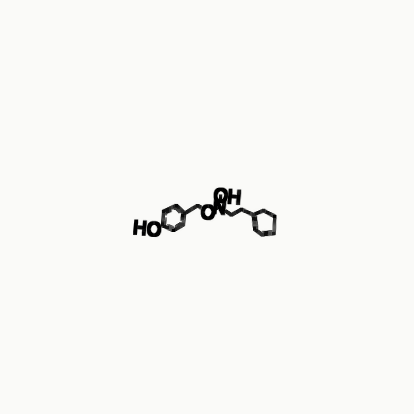 Oc1ccc(CON(O)CCC2=CC=CCC2)cc1